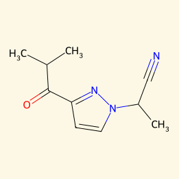 CC(C)C(=O)c1ccn(C(C)C#N)n1